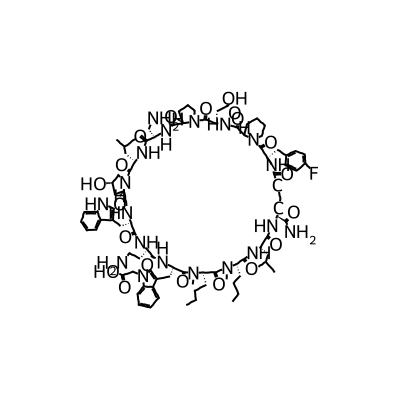 CCCC[C@H]1C(=O)N(C)[C@@H](CCCC)C(=O)N[C@@H](CC(C)C)C(=O)N[C@H](C(N)=O)CCCC(=O)N[C@@H](Cc2ccc(F)cc2)C(=O)N2CCCC[C@H]2C(=O)N[C@@H](CC(=O)O)C(=O)N2CCC[C@H]2C(=O)N[C@@H](CN)C(=O)N[C@@H](CC(C)C)C(=O)N2C[C@H](O)C[C@H]2C(=O)N[C@@H](Cc2c[nH]c3ccccc23)C(=O)N[C@@H](CCN)C(=O)N[C@@H](Cc2cn(CC(=O)O)c3ccccc23)C(=O)N1C